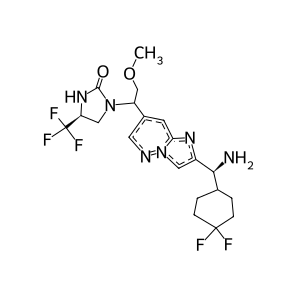 COCC(c1cnn2cc([C@@H](N)C3CCC(F)(F)CC3)nc2c1)N1C[C@@H](C(F)(F)F)NC1=O